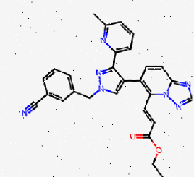 CCOC(=O)/C=C/c1c(-c2cn(Cc3cccc(C#N)c3)nc2-c2cccc(C)n2)ccc2ncnn12